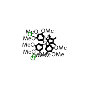 COc1cc([Si](c2cc(OC)c(OC)c(OC)c2)(c2cc(OC)c(OC)c(OC)c2)[C]2([Ti+3])C(C)=C(C)C(C)=C2C)cc(OC)c1OC.[Cl-].[Cl-].[Cl-]